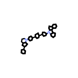 c1ccc(-c2ccc3c(c2)CCCN3c2ccc(-c3ccc(-c4ccc(-n5c6ccccc6c6c7ccccc7ccc65)cc4)cc3)cc2)cc1